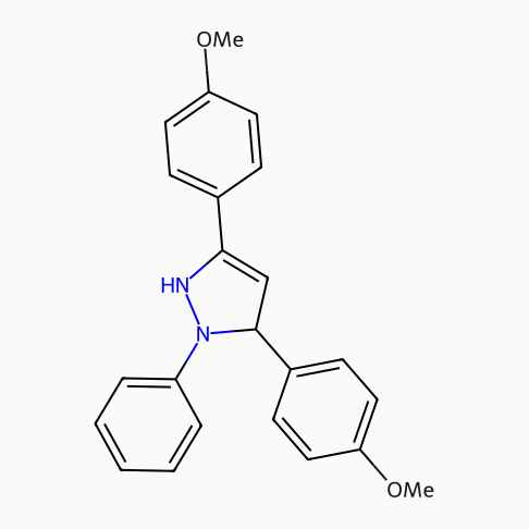 COc1ccc(C2=CC(c3ccc(OC)cc3)N(c3ccccc3)N2)cc1